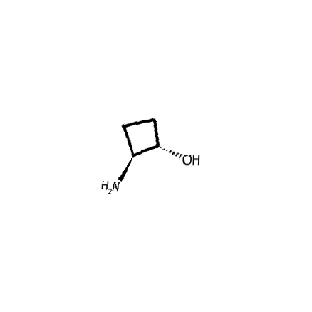 N[C@H]1CC[C@@H]1O